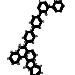 c1ccc(-c2cccc(-c3ccc(-c4ccc(-c5nc6ccccc6c6c5ccc5c7ccccc7sc56)cc4)cc3)n2)nc1